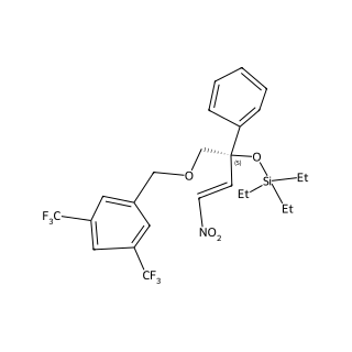 CC[Si](CC)(CC)O[C@](C=C[N+](=O)[O-])(COCc1cc(C(F)(F)F)cc(C(F)(F)F)c1)c1ccccc1